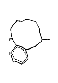 CC1CCCCCNc2nnccc2C1